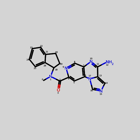 CN(C(=O)c1cc2c(cn1)nc(N)c1cncn12)C1CCc2ccccc21